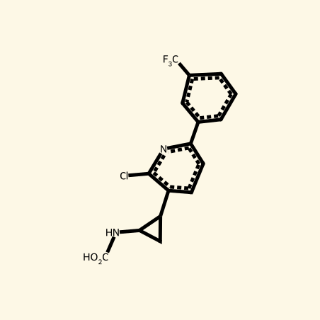 O=C(O)NC1CC1c1ccc(-c2cccc(C(F)(F)F)c2)nc1Cl